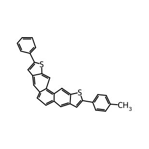 Cc1ccc(-c2cc3cc4ccc5cc6cc(-c7ccccc7)sc6cc5c4cc3s2)cc1